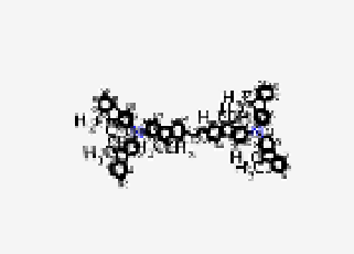 CC1(C)c2ccccc2-c2ccc(N(c3ccc4c(c3)C(C)(C)c3ccccc3-4)c3ccc4c(c3)C(C)(C)c3cc(/C=C/c5ccc6c(c5)C(C)(C)c5cc(N(c7ccc8c(c7)C(C)(C)c7ccccc7-8)c7ccc8c(c7)C(C)(C)c7ccccc7-8)ccc5-6)ccc3-4)cc21